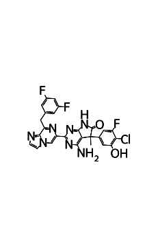 CC1(c2cc(O)c(Cl)c(F)c2)C(=O)Nc2nc(-c3cn4ccnc4c(Cc4cc(F)cc(F)c4)n3)nc(N)c21